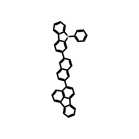 c1ccc(-n2c3ccccc3c3ccc(-c4ccc5cc(-c6ccc7c8c(cccc68)-c6ccccc6-7)ccc5c4)cc32)cc1